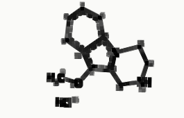 COc1c2n(c3ccccc13)CCNC2.Cl